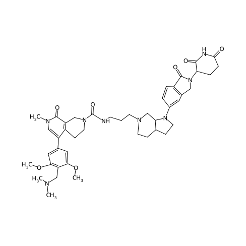 COc1cc(-c2cn(C)c(=O)c3c2CCN(C(=O)NCCCN2CCC4CCN(c5ccc6c(c5)CN(C5CCC(=O)NC5=O)C6=O)C4C2)C3)cc(OC)c1CN(C)C